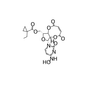 CCC1(C(=O)OC[C@H]2O[C@@H](n3ccc(NO)nc3=O)[C@H]3OC(=O)/C=C\C(=O)OC23)CC1